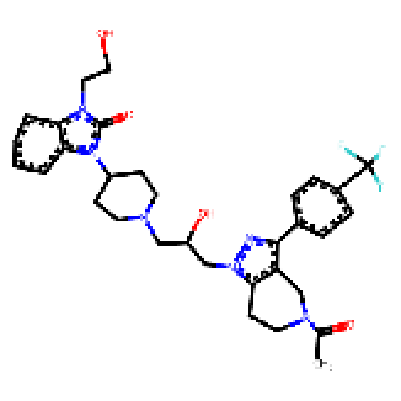 CC(=O)N1CCc2c(c(-c3ccc(C(F)(F)F)cc3)nn2CC(O)CN2CCC(n3c(=O)n(CCO)c4ccccc43)CC2)C1